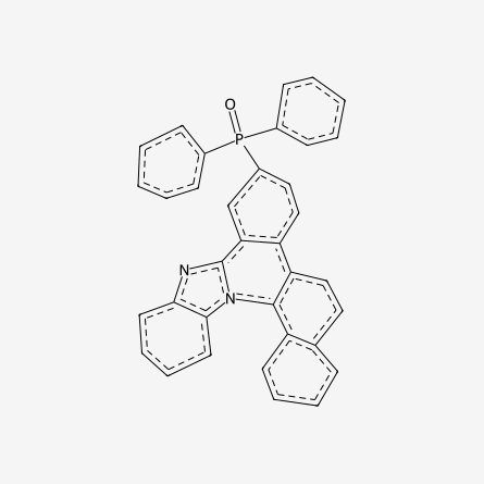 O=P(c1ccccc1)(c1ccccc1)c1ccc2c(c1)c1nc3ccccc3n1c1c3ccccc3ccc21